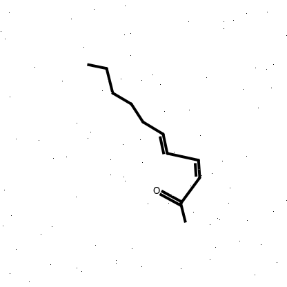 CCCCC/C=C/C=C\C(C)=O